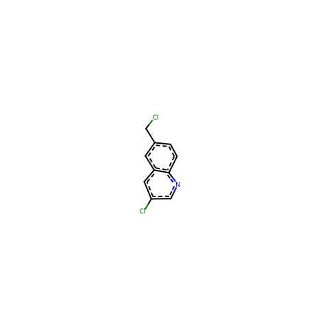 ClCc1ccc2ncc(Cl)cc2c1